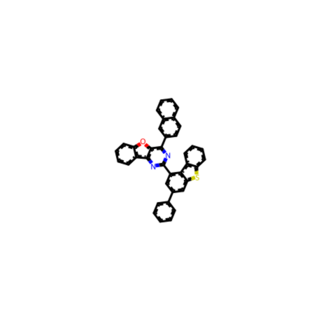 c1ccc(-c2cc(-c3nc(-c4ccc5ccccc5c4)c4oc5ccccc5c4n3)c3c(c2)sc2ccccc23)cc1